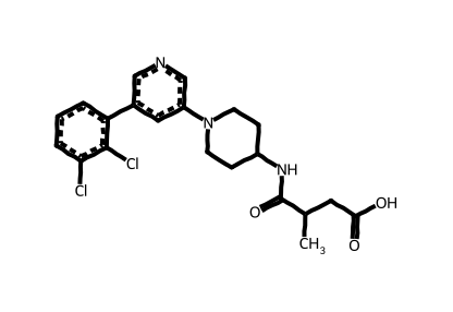 CC(CC(=O)O)C(=O)NC1CCN(c2cncc(-c3cccc(Cl)c3Cl)c2)CC1